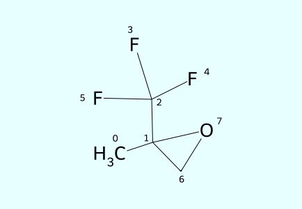 CC1(C(F)(F)F)CO1